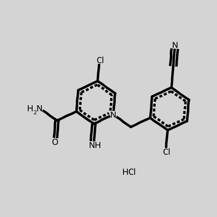 Cl.N#Cc1ccc(Cl)c(Cn2cc(Cl)cc(C(N)=O)c2=N)c1